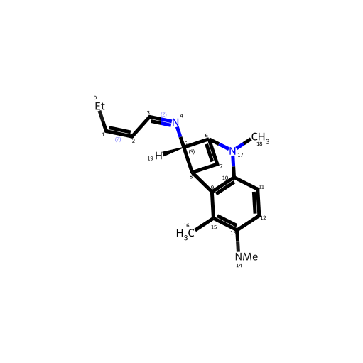 CC/C=C\C=N/[C@@H]1C2=CC1c1c(ccc(NC)c1C)N2C